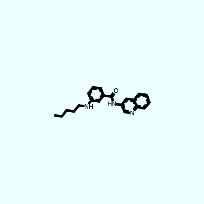 CCCCCNc1cccc(C(=O)Nc2cnc3ccccc3c2)c1